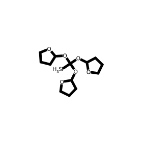 [SiH3]C(OC1CCCO1)(OC1CCCO1)OC1CCCO1